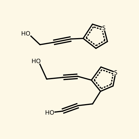 OC#CCc1cscc1C#CCO.OCC#Cc1ccsc1